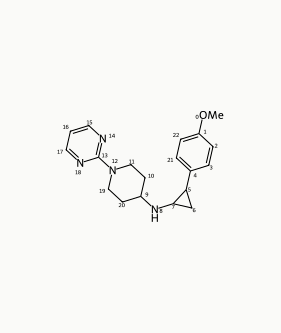 COc1ccc(C2CC2NC2CCN(c3ncccn3)CC2)cc1